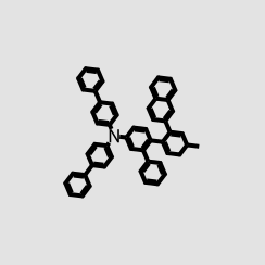 CC1C=C(c2ccc3ccccc3c2)C(c2ccc(N(c3ccc(-c4ccccc4)cc3)c3ccc(-c4ccccc4)cc3)cc2-c2ccccc2)=CC1